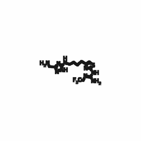 NCc1n[nH]c(NCCCCc2csc(NC(N)=NCC(F)(F)F)n2)n1